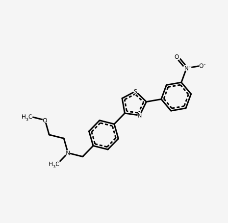 COCCN(C)Cc1ccc(-c2csc(-c3cccc([N+](=O)[O-])c3)n2)cc1